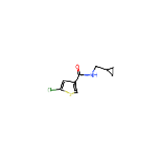 O=C(NCC1CC1)c1csc(Cl)c1